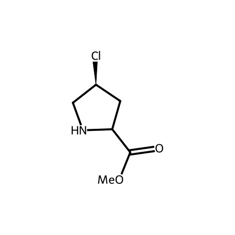 COC(=O)C1C[C@H](Cl)CN1